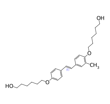 Cc1cc(/C=C/c2ccc(OCCCCCCO)cc2)ccc1OCCCCCCO